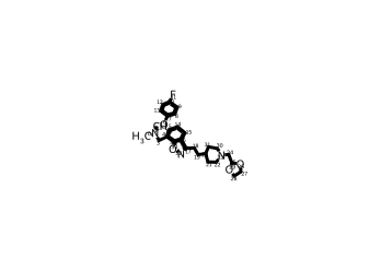 CN(C)Cc1c(Oc2ccc(F)cc2)ccc2c(CCC3CCN(CC4OCCO4)CC3)noc12